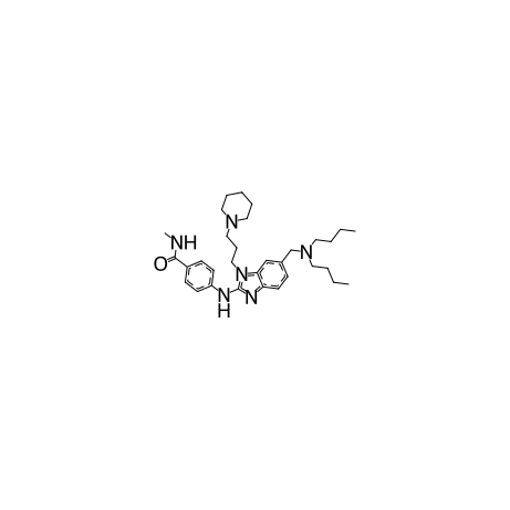 CCCCN(CCCC)Cc1ccc2nc(Nc3ccc(C(=O)NC)cc3)n(CCCN3CCCCC3)c2c1